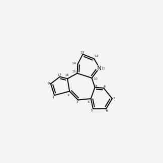 c1cc2cc3ccccc3c3ncccc3c-2c1